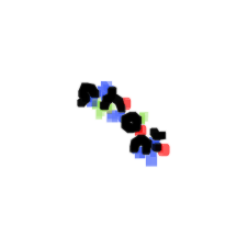 Cc1cccc(-n2ncc(C3OC3Nc3ccc(Oc4ccnc5[nH]c(=O)n(C(C)C)c45)c(F)c3)c2C(F)(F)F)n1